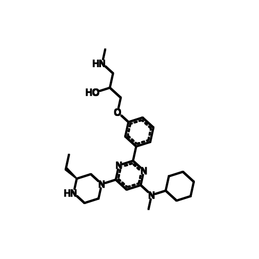 CC[C@H]1CN(c2cc(N(C)C3CCCCC3)nc(-c3cccc(OCC(O)CNC)c3)n2)CCN1